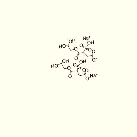 O=C([O-])CC(C(=O)OCC(O)O)S(=O)(=O)O.O=C([O-])CC(C(=O)OCC(O)O)S(=O)(=O)O.[Na+].[Na+]